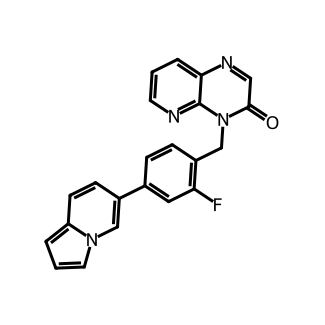 O=c1cnc2cccnc2n1Cc1ccc(-c2ccc3cccn3c2)cc1F